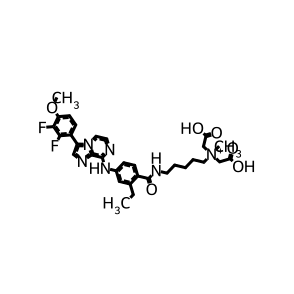 CCc1cc(Nc2nccn3c(-c4ccc(OC)c(F)c4F)cnc23)ccc1C(=O)NCCCCC[N+](C)(CC(=O)O)CC(=O)O